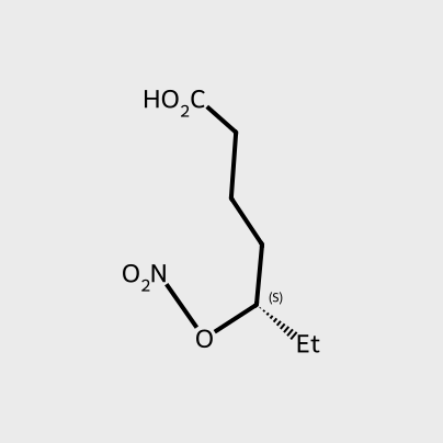 CC[C@@H](CCCC(=O)O)O[N+](=O)[O-]